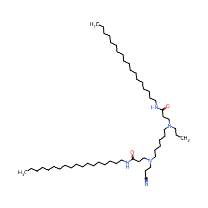 CCCCCCCCCCCCCCCCCCNC(=O)CCN(CCC)CCCCCCN(CCC#N)CCC(=O)NCCCCCCCCCCCCCCCCCC